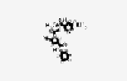 C=C(c1cncc(OC)c1)N(C)CC(=O)N1CC(C(=O)Nc2ccccc2)CC1C#N